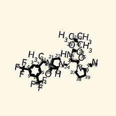 C[C@H](c1cc(C(F)(F)F)cc(C(F)(F)F)c1)N1C(=O)[C@@H]2CC1CN2C[C@H](NC(=O)OC(C)(C)C)C(=O)N1CCC[C@H]1C#N